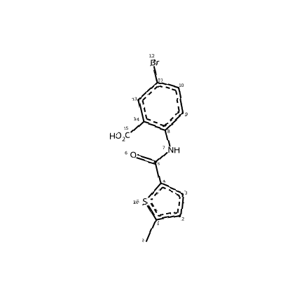 Cc1ccc(C(=O)Nc2ccc(Br)cc2C(=O)O)s1